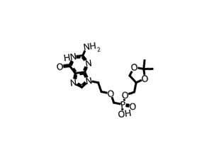 CC1(C)OCC(COP(=O)(O)COCCn2cnc3c(=O)[nH]c(N)nc32)O1